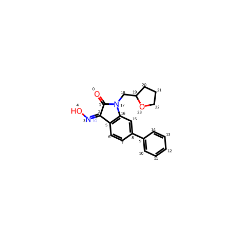 O=C1/C(=N\O)c2ccc(-c3ccccc3)cc2N1CC1CCCO1